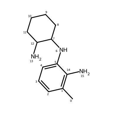 Cc1cccc(NC2CCCCC2N)c1N